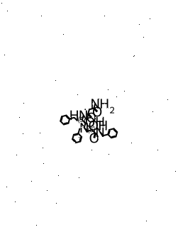 NC(=O)[CH]C(=O)N[C@@H](CCc1ccccc1)C(=O)N(Cc1ccccc1)C[C@H](O)C(=O)NCc1ccccc1